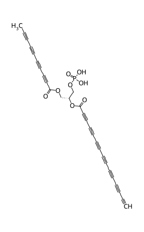 C#CC#CC#CC#CC#CC#CC#CC(=O)O[C@H](COC(=O)C#CC#CC#CC#CC)COP(=O)(O)O